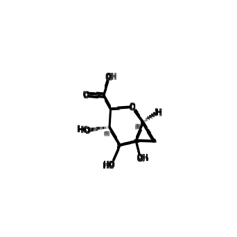 O=C(O)C1O[C@H]2CC2(O)C(O)[C@@H]1O